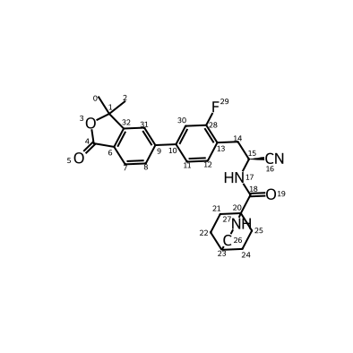 CC1(C)OC(=O)c2ccc(-c3ccc(C[C@@H](C#N)NC(=O)C45CCC(CC4)CN5)c(F)c3)cc21